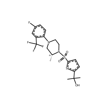 C[C@@H]1CN(c2ccc(F)cc2C(F)(F)F)CCN1S(=O)(=O)c1ccc(C(C)(C)O)s1